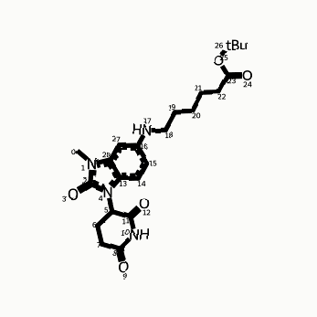 Cn1c(=O)n(C2CCC(=O)NC2=O)c2ccc(NCCCCCC(=O)OC(C)(C)C)cc21